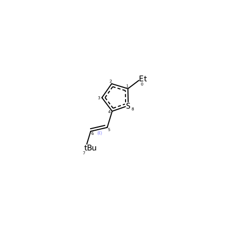 CCc1ccc(/C=C/C(C)(C)C)s1